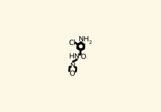 Nc1ccc(C(=O)NCCN2CCOCC2)cc1Cl